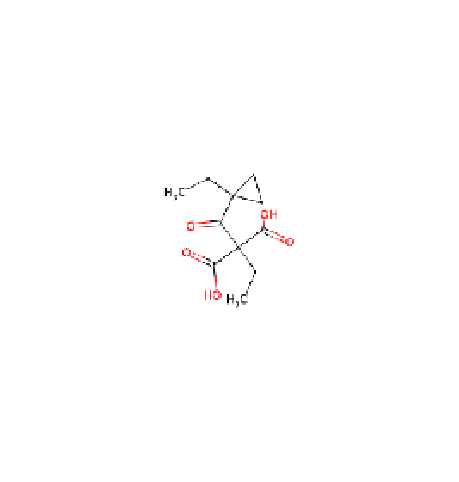 CCC1(C(=O)C(CC)(C(=O)O)C(=O)O)CC1